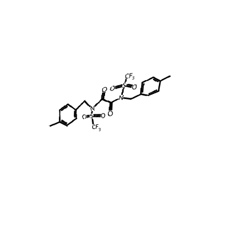 Cc1ccc(CN(C(=O)C(=O)N(Cc2ccc(C)cc2)S(=O)(=O)C(F)(F)F)S(=O)(=O)C(F)(F)F)cc1